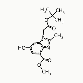 COC(=O)c1cc(O)cc2c1nc(C)n2CC(=O)OC(C)(C)C